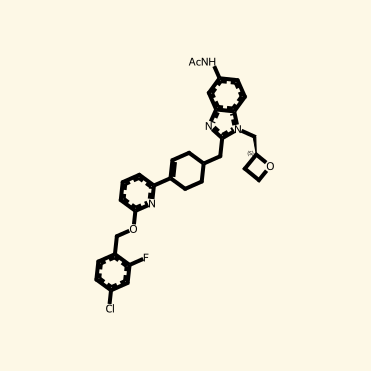 CC(=O)Nc1ccc2c(c1)nc(CC1CC=C(c3cccc(OCc4ccc(Cl)cc4F)n3)CC1)n2C[C@@H]1CCO1